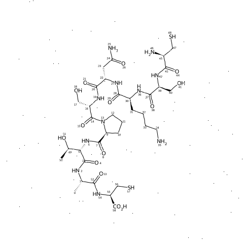 C[C@H](NC(=O)[C@@H](NC(=O)[C@@H]1CCCN1C(=O)[C@H](CO)NC(=O)[C@H](CC(N)=O)NC(=O)[C@H](CCCCN)NC(=O)[C@H](CO)NC(=O)[C@@H](N)CS)[C@@H](C)O)C(=O)N[C@@H](CS)C(=O)O